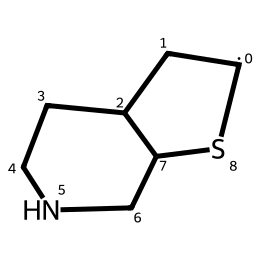 [CH]1CC2CCNCC2S1